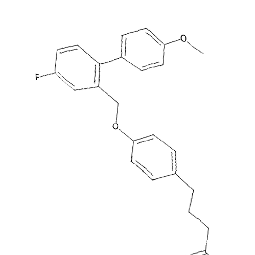 COc1ccc(-c2ccc(F)cc2COc2ccc(CCCC(=O)O)cc2)cc1